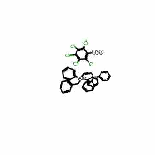 C(=C/[As+](Cc1ccccc1)(c1ccccc1)c1ccccc1)/[As](c1ccccc1)c1ccccc1.O=C([O-])c1c(Cl)c(Cl)c(Cl)c(Cl)c1Cl